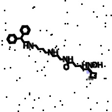 C[C@H]1CC/C1=C(/CCCCC(=O)NCCCNCCCCNCCC(c1ccccc1)c1ccccc1)NO